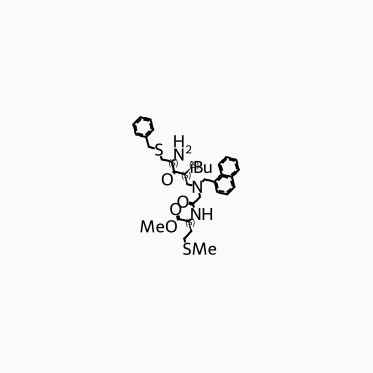 CC[C@H](C)[C@@H](CN(CC(=O)N[C@@H](CCSC)C(=O)OC)Cc1cccc2ccccc12)C(=O)[C@H](N)CSCc1ccccc1